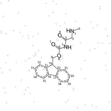 CNCC(=O)NC(=O)OCC1c2ccccc2-c2ccccc21